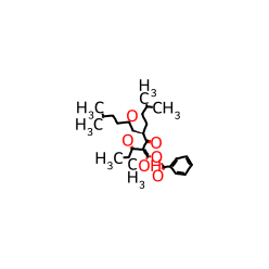 CC(C)CCC(=O)C[C@@H](CCC(C)C)C(=O)/C(C(=O)C(C)C)=C(/O)OC(=O)c1ccccc1